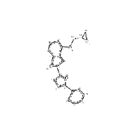 c1ccc(-c2nnc(-c3cc4c(OC[C@@H]5CO5)cccc4o3)o2)cc1